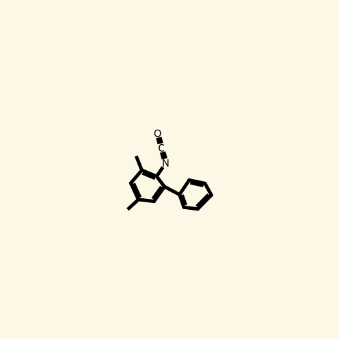 Cc1cc(C)c(N=C=O)c(-c2ccccc2)c1